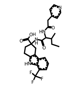 CCC(C)C(NC(=O)Cc1ccncc1)C(=O)NC1(C(=O)O)CCc2[nH]c3c(C(F)(F)F)cccc3c2C1